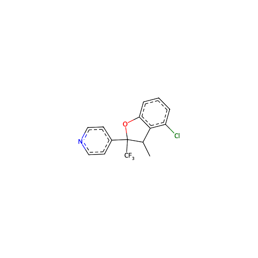 CC1c2c(Cl)cccc2OC1(c1ccncc1)C(F)(F)F